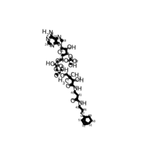 CC(C)(COP(=O)(O)OP(=O)(O)OC[C@H]1O[C@@H](n2cnc3c(N)ncnc32)[C@H](O)[C@@H]1OP(=O)(O)O)[C@@H](O)C(=O)NCCC(=O)NCCSC12CCC(CC1)C2